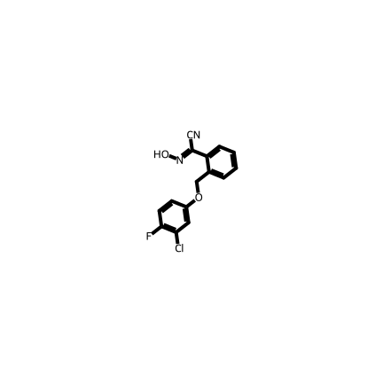 N#CC(=NO)c1ccccc1COc1ccc(F)c(Cl)c1